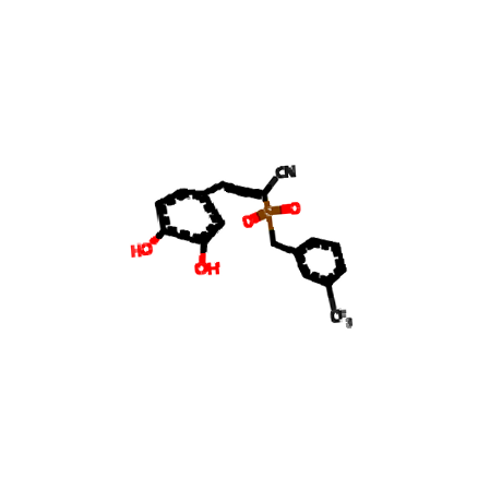 N#CC(=Cc1ccc(O)c(O)c1)S(=O)(=O)Cc1cccc(C(F)(F)F)c1